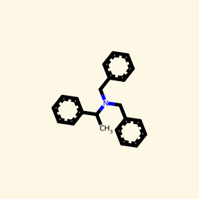 CC(c1ccccc1)N(Cc1ccccc1)Cc1ccccc1